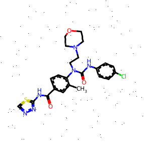 Cc1cc(C(=O)Nc2nncs2)ccc1N(CCN1CCOCC1)C(=O)Nc1ccc(Cl)cc1